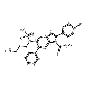 CNC(=O)c1c(-c2ccc(F)cc2)oc2cc(N(CCCN)S(C)(=O)=O)c(-c3ccccc3)cc12